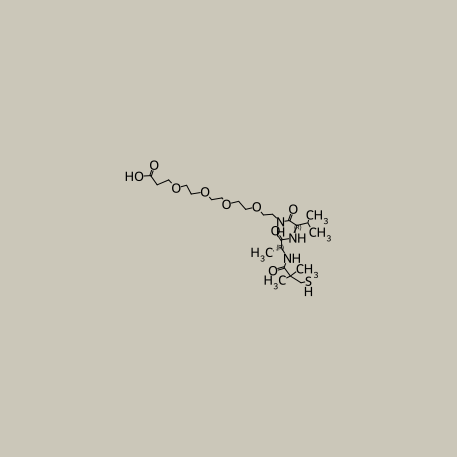 CC(C)[C@@H](NC(=O)[C@@H](C)NC(=O)C(C)(C)CS)C(=O)NCCOCCOCCOCCOCCC(=O)O